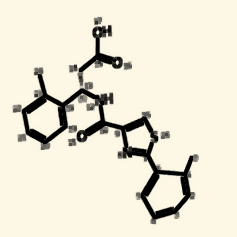 Cc1ccccc1-c1nc(C(=O)N[C@@H](CC(=O)O)c2ccccc2C)cs1